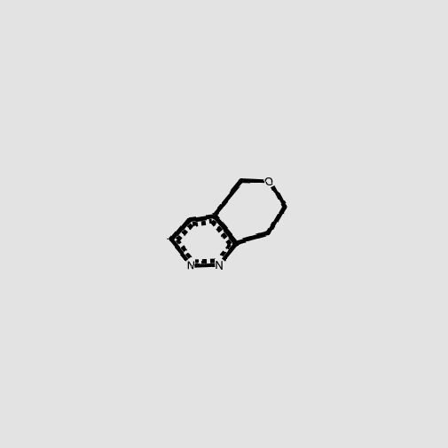 [c]1cc2c(nn1)CCOC2